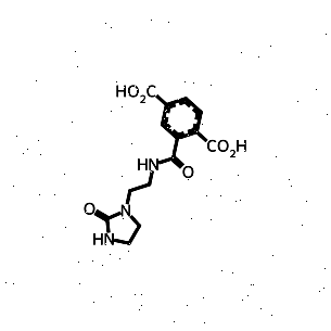 O=C(O)c1ccc(C(=O)O)c(C(=O)NCCN2CCNC2=O)c1